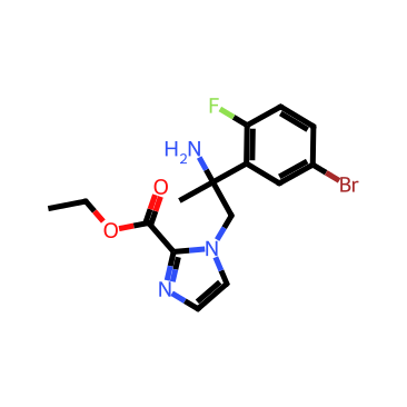 CCOC(=O)c1nccn1CC(C)(N)c1cc(Br)ccc1F